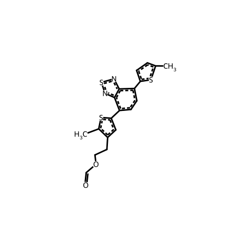 Cc1ccc(-c2ccc(-c3cc(CCOC=O)c(C)s3)c3nsnc23)s1